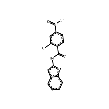 O=C(Nc1nc2ccccc2o1)c1ccc([N+](=O)[O-])cc1Cl